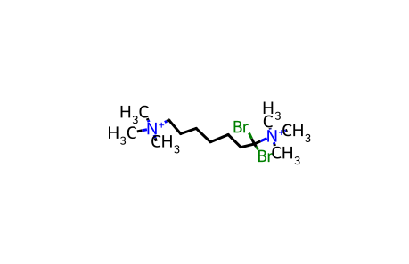 C[N+](C)(C)CCCCCCC(Br)(Br)[N+](C)(C)C